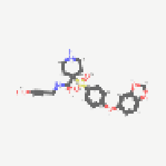 O=C(NCC#CO)C1(S(=O)(=O)c2ccc(Oc3ccc4c(c3)OCO4)cc2)CCNCC1